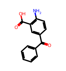 Nc1ccc(C(=O)c2ccccc2)cc1C(=O)O